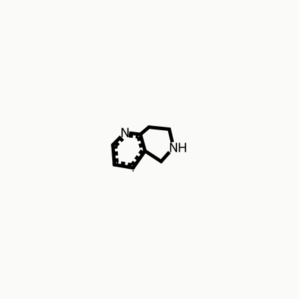 [c]1ccnc2c1CNCC2